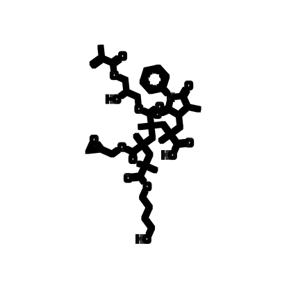 C=C(C)C(=O)OCC(O)COC(=O)C(C)(CC(C)(CC1C(=O)N(c2ccccc2)C(=O)C1C)C(=O)O)CC(C)(CC(C)(C)C(=O)OCCCCO)C(=O)OCC1CO1